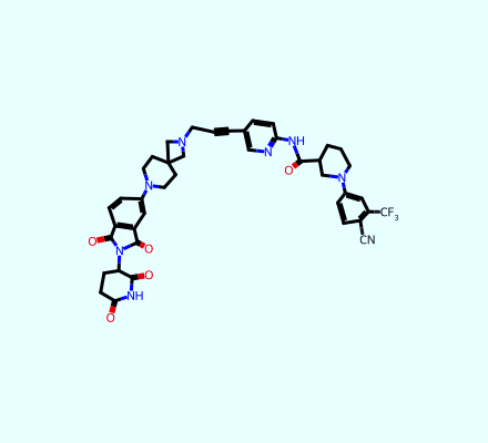 N#Cc1ccc(N2CCCC(C(=O)Nc3ccc(C#CCN4CC5(CCN(c6ccc7c(c6)C(=O)N(C6CCC(=O)NC6=O)C7=O)CC5)C4)cn3)C2)cc1C(F)(F)F